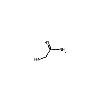 N=C(N)CS